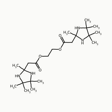 CC1(CC(=O)OCCOC(=O)CC2(C)NC(C)(C)C(C)(C)N2)NC(C)(C)C(C)(C)N1